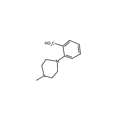 CN1CCN(c2ccccc2C(=O)O)CC1